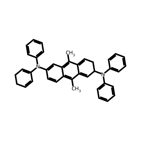 Cc1c2c(c(C)c3cc(N(C4=CCCC=C4)c4ccccc4)ccc13)=CCC(N(c1ccccc1)c1ccccc1)C=2